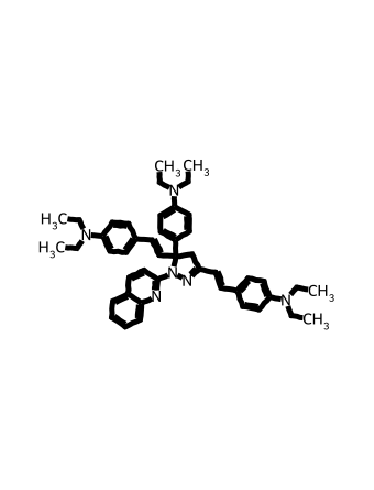 CCN(CC)c1ccc(C=CC2=NN(c3ccc4ccccc4n3)C(C=Cc3ccc(N(CC)CC)cc3)(c3ccc(N(CC)CC)cc3)C2)cc1